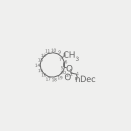 CCCCCCCCCCCC(=O)O/C1=C/C(C)CCCCCCCCCCCC1